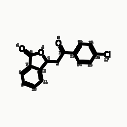 O=C(CC1OC(=O)c2ccccc21)c1ccc(Cl)cc1